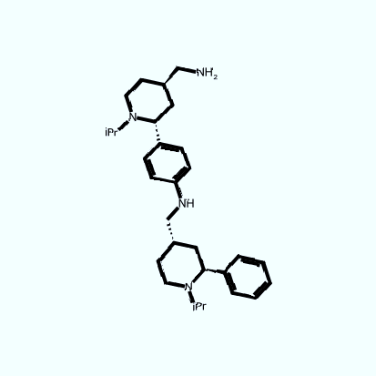 CC(C)N1CC[C@@H](CN)C[C@@H]1c1ccc(NC[C@H]2CCN(C(C)C)[C@H](c3ccccc3)C2)cc1